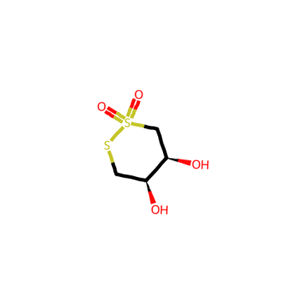 O=S1(=O)C[C@@H](O)[C@@H](O)CS1